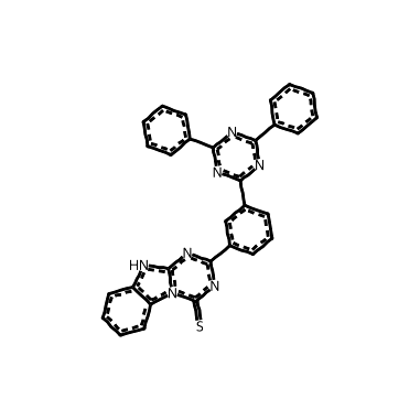 S=c1nc(-c2cccc(-c3nc(-c4ccccc4)nc(-c4ccccc4)n3)c2)nc2[nH]c3ccccc3n12